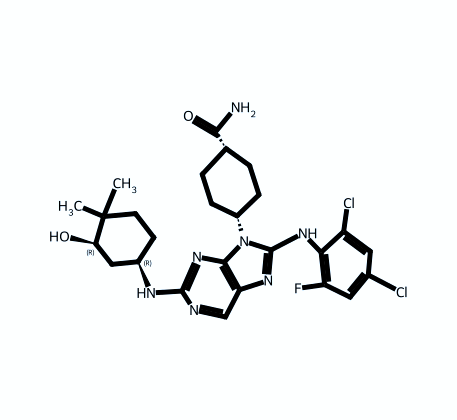 CC1(C)CC[C@@H](Nc2ncc3nc(Nc4c(F)cc(Cl)cc4Cl)n([C@H]4CC[C@@H](C(N)=O)CC4)c3n2)C[C@H]1O